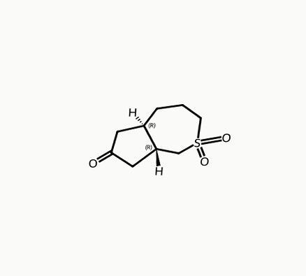 O=C1C[C@H]2CCCS(=O)(=O)C[C@@H]2C1